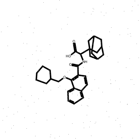 O=C(NC(C(=O)O)C12CC3CC(CC(C3)C1)C2)c1ccc2ccccc2c1OCC1CCCCC1